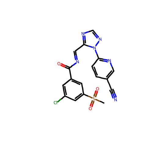 CS(=O)(=O)c1cc(Cl)cc(C(=O)/N=C/c2ncnn2-c2ccc(C#N)cn2)c1